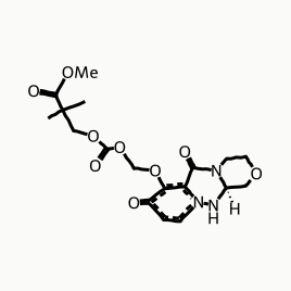 COC(=O)C(C)(C)COC(=O)OCOc1c2n(ccc1=O)N[C@@H]1COCCN1C2=O